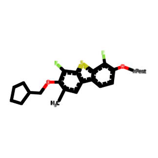 CCCCCOc1ccc2c(sc3c(F)c(OCC4CCCC4)c(C)cc32)c1F